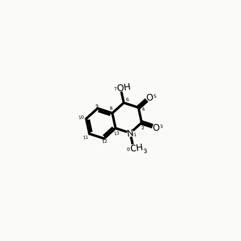 CN1C(=O)C(=O)C(O)c2ccccc21